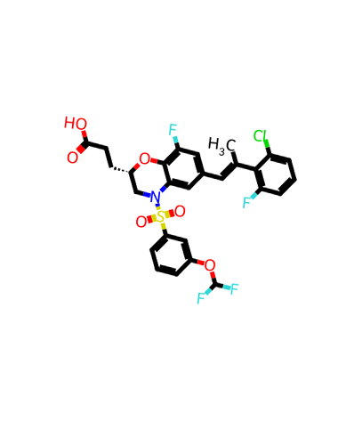 C/C(=C\c1cc(F)c2c(c1)N(S(=O)(=O)c1cccc(OC(F)F)c1)C[C@H](CCC(=O)O)O2)c1c(F)cccc1Cl